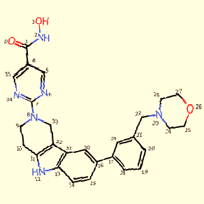 O=C(NO)c1cnc(N2CCc3[nH]c4ccc(-c5cccc(CN6CCOCC6)c5)cc4c3C2)nc1